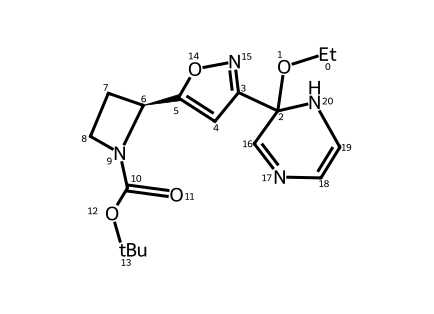 CCOC1(c2cc([C@@H]3CCN3C(=O)OC(C)(C)C)on2)C=NC=CN1